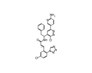 Nc1ccc(-c2cc(C(Cc3ccccc3)NC(=O)/C=C/c3cc(Cl)ccc3-n3cnnn3)c(Cl)nn2)cn1